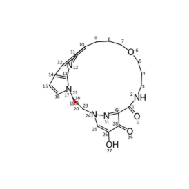 O=C1NCCCOCCCc2cnc3c(ccn3C3(CCCC3)Cn3cc(O)c(=O)c1n3)c2